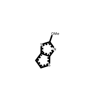 COc1nc2sccc2s1